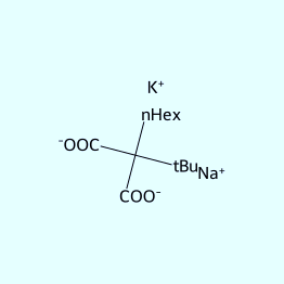 CCCCCCC(C(=O)[O-])(C(=O)[O-])C(C)(C)C.[K+].[Na+]